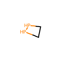 C1CPP1